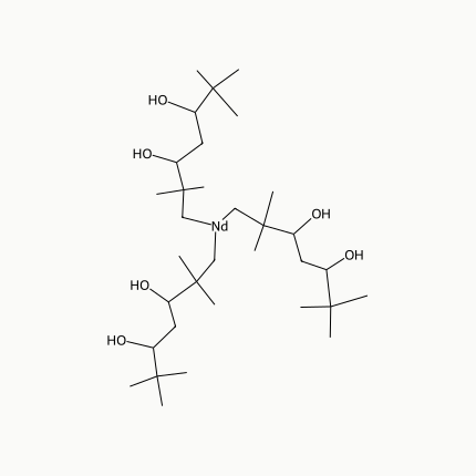 CC(C)(C)C(O)CC(O)C(C)(C)[CH2][Nd]([CH2]C(C)(C)C(O)CC(O)C(C)(C)C)[CH2]C(C)(C)C(O)CC(O)C(C)(C)C